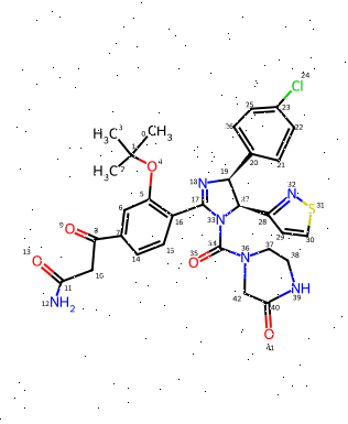 CC(C)(C)Oc1cc(C(=O)CC(N)=O)ccc1C1=N[C@@H](c2ccc(Cl)cc2)[C@@H](c2ccsn2)N1C(=O)N1CCNC(=O)C1